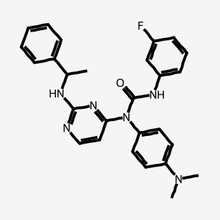 CC(Nc1nccc(N(C(=O)Nc2cccc(F)c2)c2ccc(N(C)C)cc2)n1)c1ccccc1